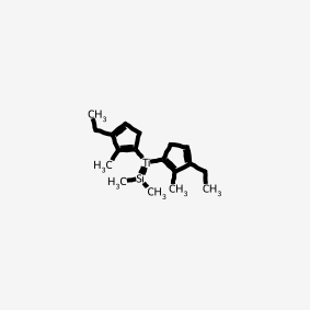 CCC1=CC[C]([Ti]([C]2=C(C)C(CC)=CC2)=[Si](C)C)=C1C